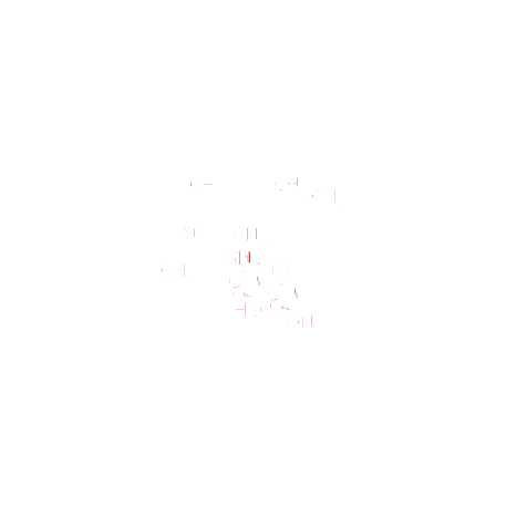 CCCCCCCC/C(=C/C(=O)O)C(=O)O.CCCCCCCC/C(=C/C(=O)O)C(=O)O.CCC[CH2][Sn]([CH2]CCC)([CH2]CCC)[CH2]CCC